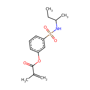 C=C(C)C(=O)Oc1cccc(S(=O)(=O)NC(C)CC)c1